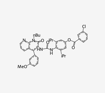 CCCCn1c(=O)c(NC(=O)Nc2c(C(C)C)cc(OC(=O)c3cccc(Cl)c3)cc2C(C)C)c(-c2cccc(OC)c2)c2cccnc21